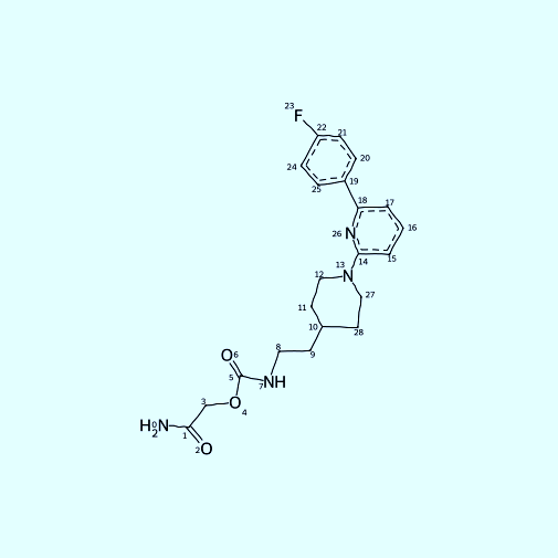 NC(=O)COC(=O)NCCC1CCN(c2cccc(-c3ccc(F)cc3)n2)CC1